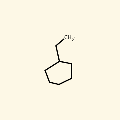 [CH2]CC1CCCCC1